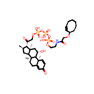 C[C@@H]1CC2[C@@H]3CCC4=CC(=O)C=C[C@]4(C)C3[C@@H](O)C[C@]2(C)[C@H]1C(=O)COP(=O)(O)OP(=O)(O)OP(=O)(O)OCCNC(=O)COC1C#CCCCCC1